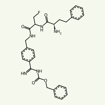 N=C(NC(=O)OCc1ccccc1)c1ccc(CNC(=O)C(CF)NC(=O)[C@H](N)CCc2ccccc2)cc1